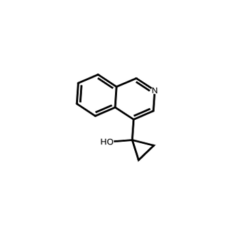 OC1(c2cncc3ccccc23)CC1